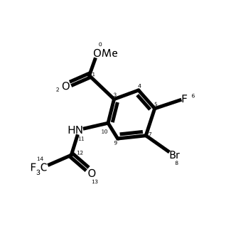 COC(=O)c1cc(F)c(Br)cc1NC(=O)C(F)(F)F